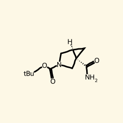 CC(C)(C)OC(=O)N1C[C@H]2C[C@@]2(C(N)=O)C1